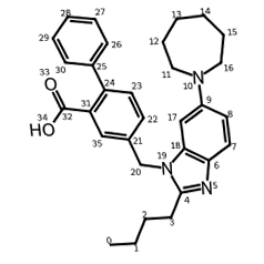 CCCCc1nc2ccc(N3CCCCCC3)cc2n1Cc1ccc(-c2ccccc2)c(C(=O)O)c1